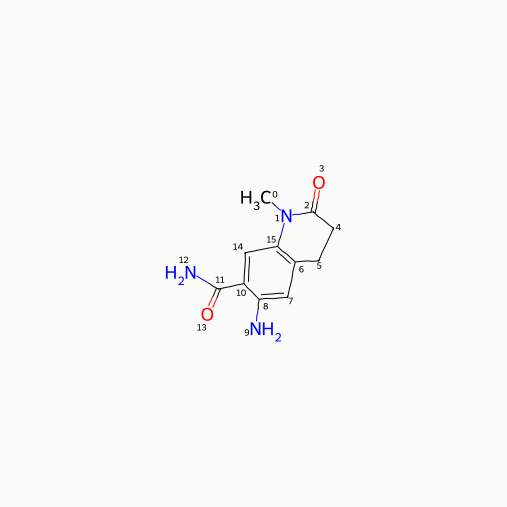 CN1C(=O)CCc2cc(N)c(C(N)=O)cc21